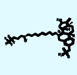 C=C1[C@H](O)C[C@H]2[C@@H]3[C@H](CCCCCCCCC[S+]([O-])CCCC(F)(F)C(F)(F)F)Cc4cc(OS(N)(=O)=O)ccc4[C@H]3CC[C@]12C